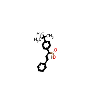 CC(C)(C)c1ccc(C(C=Cc2ccccc2)[SH](=O)=O)cc1